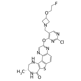 C[C@@H]1CNc2c(sc3ccc4nc(Oc5nc(Cl)ncc5CN5CC(OCCF)C5)cnc4c23)C(=O)N1